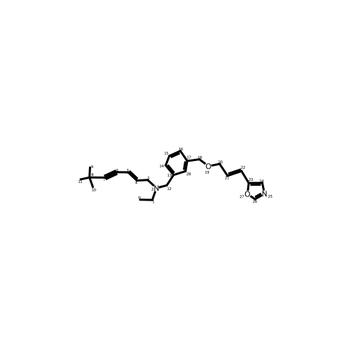 CCN(C/C=C/C#CC(C)(C)C)Cc1cccc(COC/C=C/c2cnco2)c1